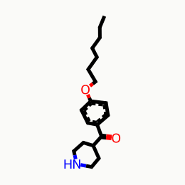 CCCCCCCOc1ccc(C(=O)C2CCNCC2)cc1